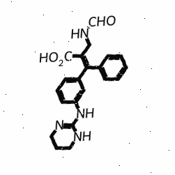 O=CNCC(C(=O)O)=C(c1ccccc1)c1cccc(NC2=NCCCN2)c1